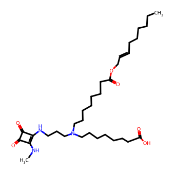 CCCCCCC=CCOC(=O)CCCCCCCN(CCCCCCCC(=O)O)CCCNc1c(NC)c(=O)c1=O